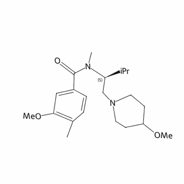 COc1cc(C(=O)N(C)[C@H](CN2CCC(OC)CC2)C(C)C)ccc1C